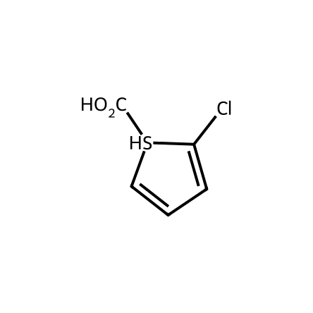 O=C(O)[SH]1C=CC=C1Cl